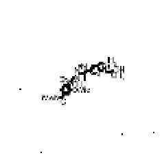 CC[C@](C)(CNc1cc(-c2cnc3c(cnn3CC(C)(C)O)c2)ncn1)c1ccc(C(=O)NC)cc1OC